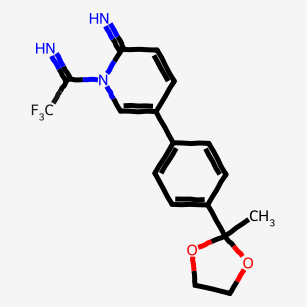 CC1(c2ccc(-c3ccc(=N)n(C(=N)C(F)(F)F)c3)cc2)OCCO1